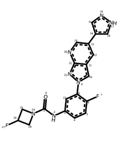 O=C(Nc1ccc(F)c(-n2cc3cc(-c4cn[nH]c4)cnc3n2)c1)N1CC(F)C1